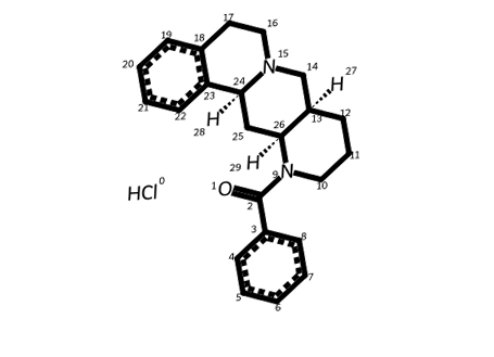 Cl.O=C(c1ccccc1)N1CCC[C@@H]2CN3CCc4ccccc4[C@@H]3C[C@@H]21